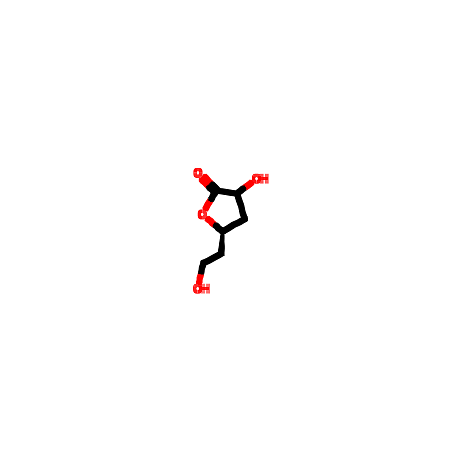 O=C1O[C@H](CCO)CC1O